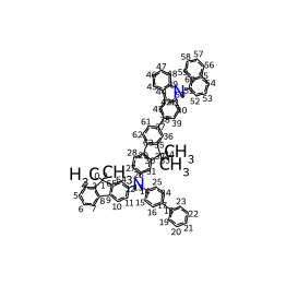 CC1(C)c2ccccc2-c2ccc(N(c3ccc(-c4ccccc4)cc3)c3ccc4c(c3)C(C)(C)c3cc(-c5ccc6c(c5)c5ccccc5n6-c5cccc6ccccc56)ccc3-4)cc21